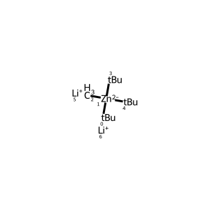 C[C](C)(C)[Zn-2]([CH3])([C](C)(C)C)[C](C)(C)C.[Li+].[Li+]